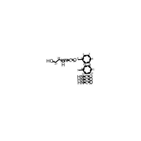 Cc1ccccc1.Cc1ccccc1.N=C=O.N=C=O.N=C=O.N=C=O.OCCO